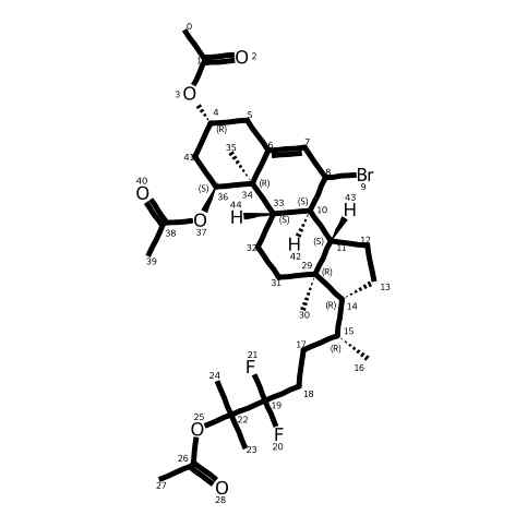 CC(=O)O[C@@H]1CC2=CC(Br)[C@H]3[C@@H]4CC[C@H]([C@H](C)CCC(F)(F)C(C)(C)OC(C)=O)[C@@]4(C)CC[C@@H]3[C@@]2(C)[C@@H](OC(C)=O)C1